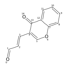 O=C/C=C/c1coc2cc[c]cc2c1=O